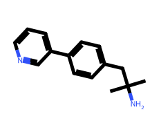 CC(C)(N)Cc1ccc(-c2cccnc2)cc1